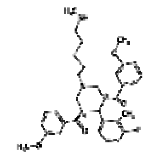 CNCCCCCN1C[C@H](C(=O)c2cccc(OC)c2)C(c2cccc(F)c2C)[C@@H](C(=O)c2cccc(OC)c2)C1